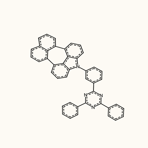 c1ccc(-c2nc(-c3ccccc3)nc(-c3cccc(-n4c5cccc6c5c5c(cccc54)-c4cccc5cccc-6c45)c3)n2)cc1